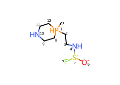 C[PH]1(CCN[S+]([O-])F)CCNCC1